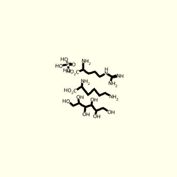 N=C(N)NCCCC(N)C(=O)O.NCCCCC(N)C(=O)O.O=P(O)(O)O.OCC(O)C(O)C(O)C(O)CO